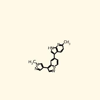 Cc1ccc2c(-c3ccn4ncc(-c5cnn(C)c5)c4c3)c[nH]c2n1